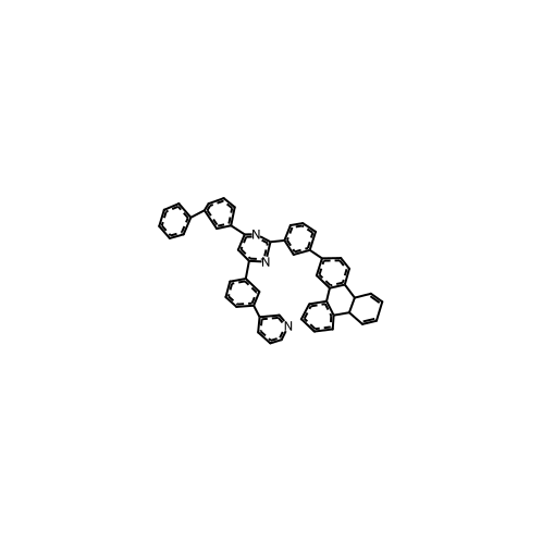 C1=CC2c3ccccc3-c3cc(-c4cccc(-c5nc(-c6cccc(-c7ccccc7)c6)cc(-c6cccc(-c7cccnc7)c6)n5)c4)ccc3C2C=C1